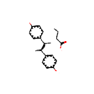 CC/C(=C(/CC)c1ccc(O)cc1)c1ccc(O)cc1.CCCC(=O)O